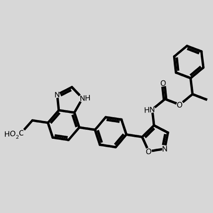 CC(OC(=O)Nc1cnoc1-c1ccc(-c2ccc(CC(=O)O)c3nc[nH]c23)cc1)c1ccccc1